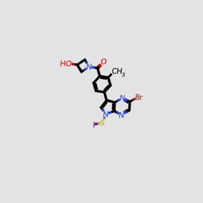 Cc1cc(-c2cn(SI)c3ncc(Br)nc23)ccc1C(=O)N1CC(O)C1